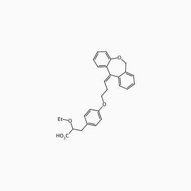 CCOC(Cc1ccc(OCC/C=C2\c3ccccc3COc3ccccc32)cc1)C(=O)O